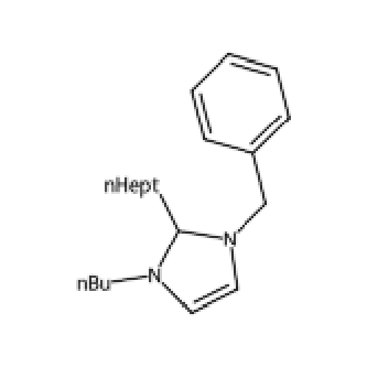 CCCCCCCC1N(CCCC)C=CN1Cc1ccccc1